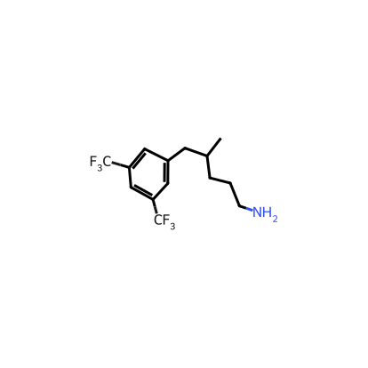 CC(CCCN)Cc1cc(C(F)(F)F)cc(C(F)(F)F)c1